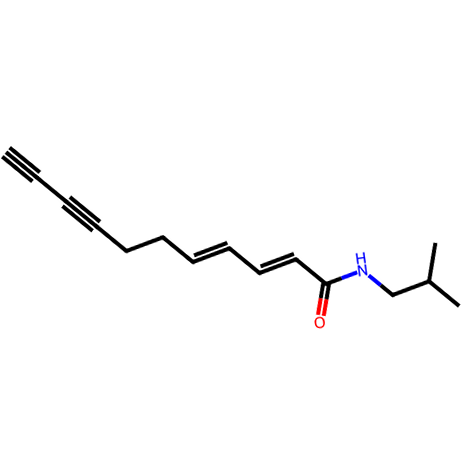 C#CC#CCCC=CC=CC(=O)NCC(C)C